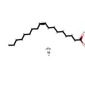 CCCCCCCC/C=C\CCCCCCCC(=O)O.[Fe].[Ni]